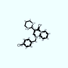 O=c1c(C2SCCCS2)c[n+](Cc2ccc(Cl)cc2)c2ccccn12